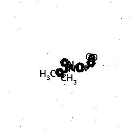 Cc1ccc(Cn2c(CN3CCCN(Cc4ccc5c(c4)OCO5)CC3)nc3ccccc32)c(C)c1